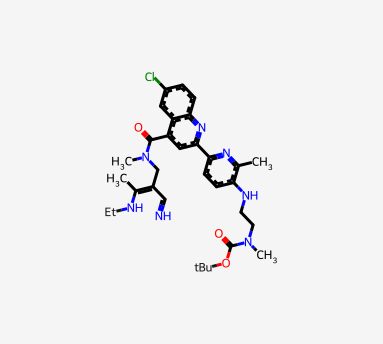 CCN/C(C)=C(\C=N)CN(C)C(=O)c1cc(-c2ccc(NCCN(C)C(=O)OC(C)(C)C)c(C)n2)nc2ccc(Cl)cc12